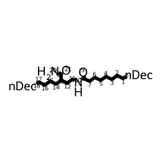 CCCCCCCCCCCCCCCCCC(=O)NCCC(CCCCCCCCCCCCCC)C(N)=O